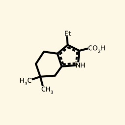 CCc1c(C(=O)O)[nH]c2c1CCC(C)(C)C2